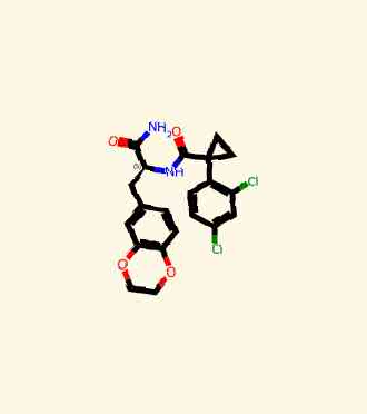 NC(=O)[C@H](Cc1ccc2c(c1)OCCO2)NC(=O)C1(c2ccc(Cl)cc2Cl)CC1